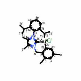 Cc1cc(C)c(Cn2c(C)c(C)n(-c3c(C(C)C)cccc3C(C)C)[c]2=[Au][Cl])c(C)c1